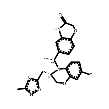 Cc1noc(C[C@H]2COc3cc(F)ccc3N2[C@H](C)c2ccc3c(c2)NC(=O)CO3)n1